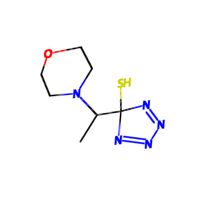 CC(N1CCOCC1)C1(S)N=NN=N1